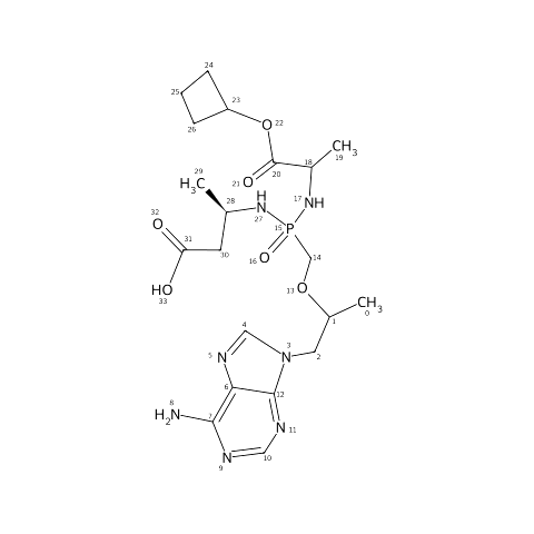 CC(Cn1cnc2c(N)ncnc21)OCP(=O)(NC(C)C(=O)OC1CCC1)N[C@H](C)CC(=O)O